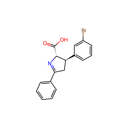 O=C(O)[C@H]1N=C(c2ccccc2)C[C@@H]1c1cccc(Br)c1